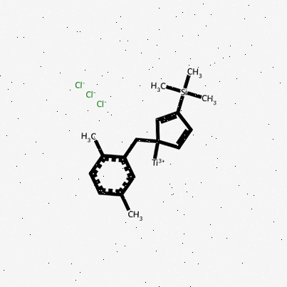 Cc1ccc(C)c(C[C]2([Ti+3])C=CC([Si](C)(C)C)=C2)c1.[Cl-].[Cl-].[Cl-]